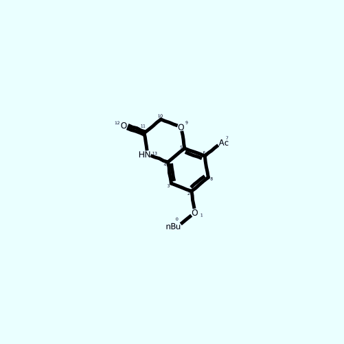 CCCCOc1cc2c(c(C(C)=O)c1)OCC(=O)N2